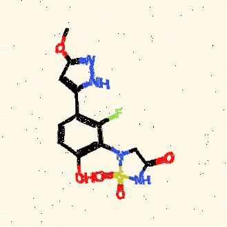 COc1cc(-c2ccc(O)c(N3CC(=O)NS3(=O)=O)c2F)[nH]n1